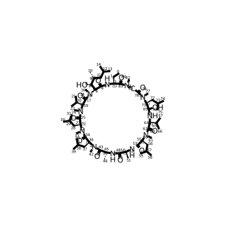 CC[C@@H]1NC(=O)[C@H]([C@H](O)[C@H](C)CC(C)C)N(C)C(=O)[C@H](C(C)C)N(C)C(=O)[C@H](CC(C)C)N(C)C(=O)[C@H](CC(C)C)N(C)C(=O)[C@@H](C)NC(=O)[C@H](C)NC(=O)[C@H](CC(C)C)N(C)C(=O)[C@H](C(C)C)NC(O)[C@H](CC(C)C)N(C)C(=O)CN(C)C1=O